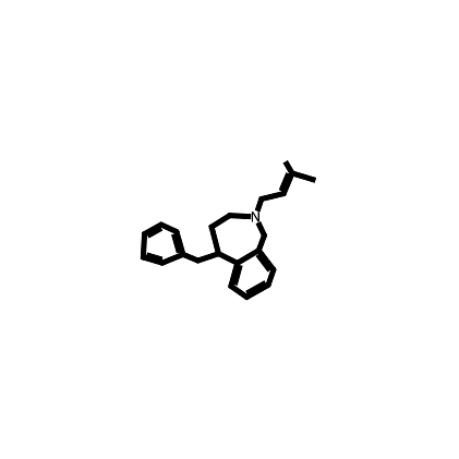 CC(C)=CCN1CCC(Cc2ccccc2)c2ccccc2C1